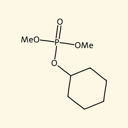 COP(=O)(OC)OC1CCCCC1